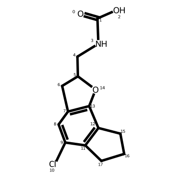 O=C(O)NCC1Cc2cc(Cl)c3c(c2O1)CCC3